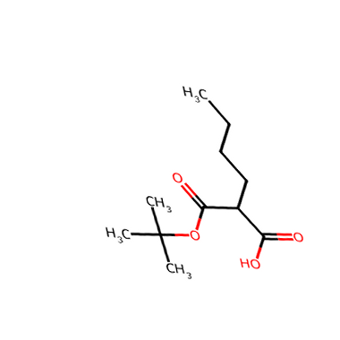 CCCCC(C(=O)O)C(=O)OC(C)(C)C